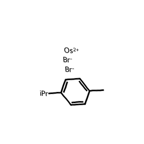 Cc1ccc(C(C)C)cc1.[Br-].[Br-].[Os+2]